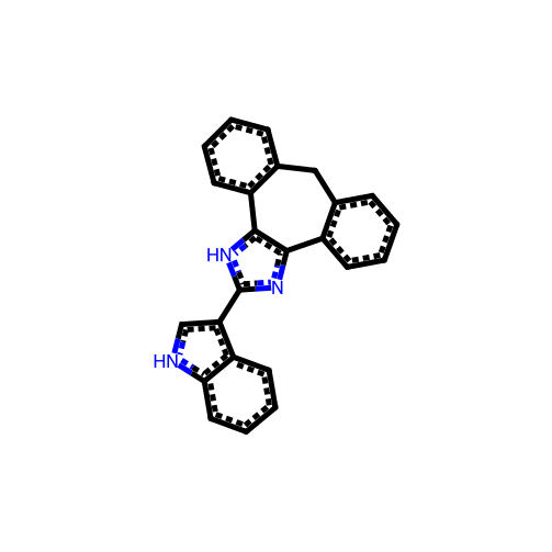 c1ccc2c(c1)Cc1ccccc1-c1[nH]c(-c3c[nH]c4ccccc34)nc1-2